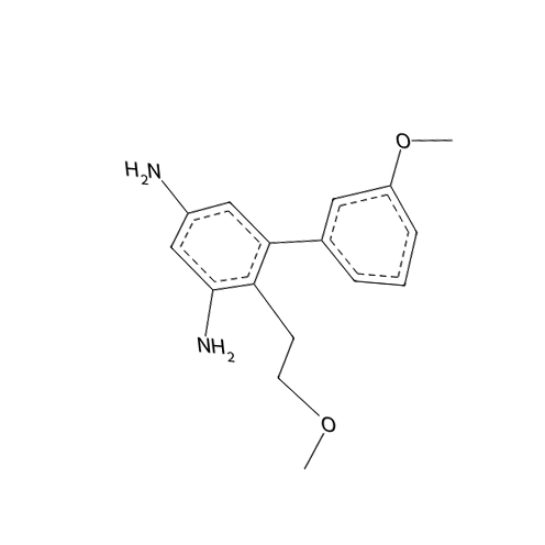 COCCc1c(N)cc(N)cc1-c1cccc(OC)c1